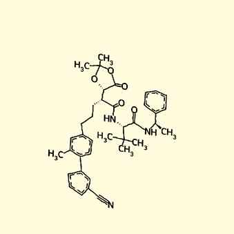 Cc1cc(CCC[C@@H](C(=O)N[C@H](C(=O)N[C@H](C)c2ccccc2)C(C)(C)C)[C@@H]2OC(C)(C)OC2=O)ccc1-c1cccc(C#N)c1